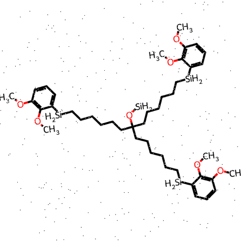 COc1cccc([SiH2]CCCCCCC(CCCCCC[SiH2]c2cccc(OC)c2OC)(CCCCCC[SiH2]c2cccc(OC)c2OC)O[SiH3])c1OC